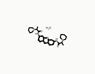 CC(C(=O)Nc1ccc2cc3ccc(NC(=O)C(C)N4CCCCC4)cc3nc2c1)N1CCCCC1.O